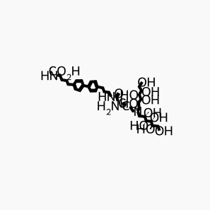 NC(CCCCN(C[C@H](O)[C@@H](O)[C@H](O)[C@H](O)CO)C[C@H](O)[C@@H](O)[C@H](O)[C@H](O)CO)C(=O)NCCCc1ccc(-c2ccc(CCCCNC(=O)O)cc2)cc1